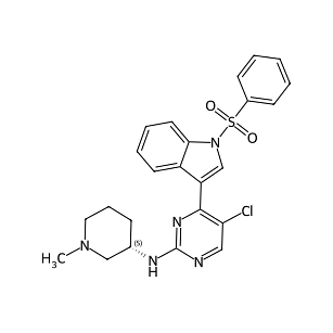 CN1CCC[C@H](Nc2ncc(Cl)c(-c3cn(S(=O)(=O)c4ccccc4)c4ccccc34)n2)C1